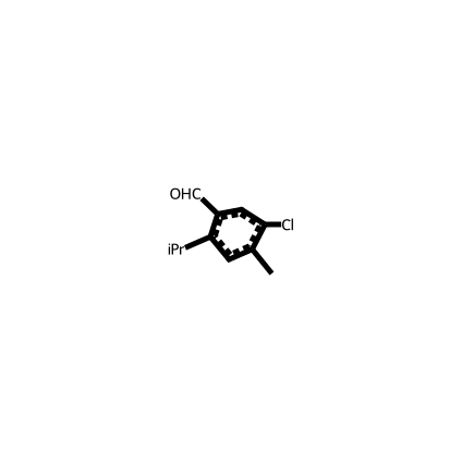 Cc1cc(C(C)C)c(C=O)cc1Cl